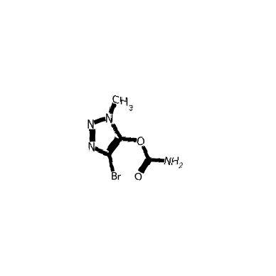 Cn1nnc(Br)c1OC(N)=O